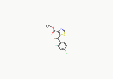 COC(=O)c1ncsc1C(Br)c1ccc(Cl)cc1F